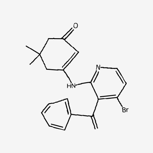 C=C(c1ccccc1)c1c(Br)ccnc1NC1=CC(=O)CC(C)(C)C1